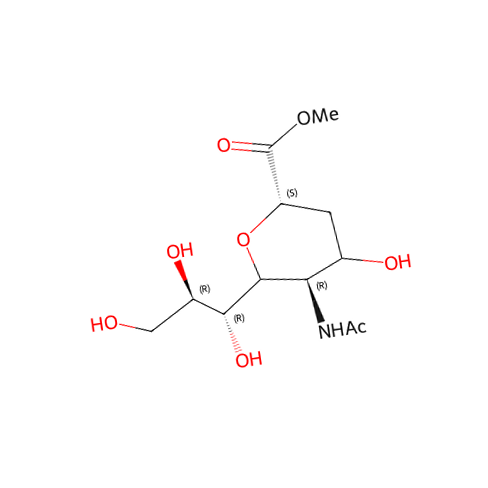 COC(=O)[C@@H]1CC(O)[C@@H](NC(C)=O)C([C@H](O)[C@H](O)CO)O1